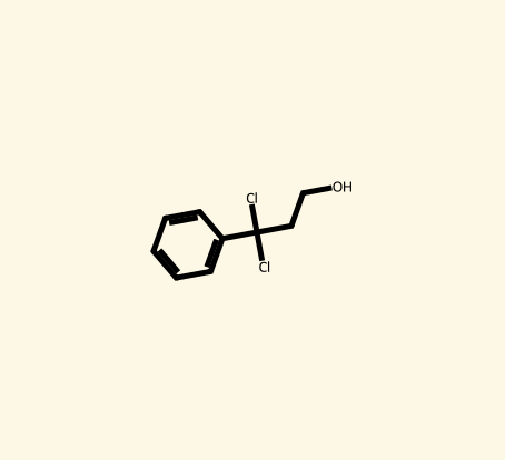 OCCC(Cl)(Cl)c1ccccc1